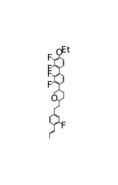 C/C=C/c1ccc(CCC2CCC(c3ccc(-c4ccc(OCC)c(F)c4F)c(F)c3F)CO2)cc1F